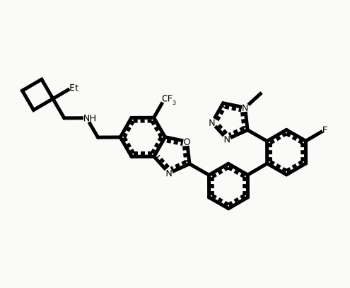 CCC1(CNCc2cc(C(F)(F)F)c3oc(-c4cccc(-c5ccc(F)cc5-c5nncn5C)c4)nc3c2)CCC1